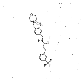 C[N+]1(Cc2ccc(CNC(=O)C=Cc3cccc(C(F)(F)F)c3)cc2)CCOCC1.[I-]